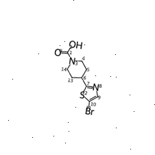 O=C(O)N1CCC(c2ncc(Br)s2)CC1